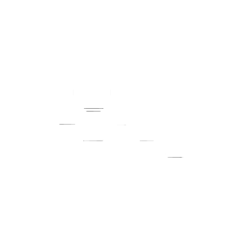 OCOCOc1c(F)c(F)c(F)c(F)c1F